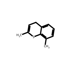 CC1=CCc2cccc(C)c2S1